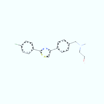 CN(CCO)Cc1ccc(-c2csc(-c3ccc(Cl)cc3)n2)cc1